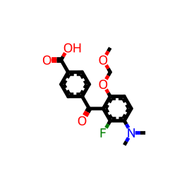 COCOc1ccc(N(C)C)c(F)c1C(=O)c1ccc(C(=O)O)cc1